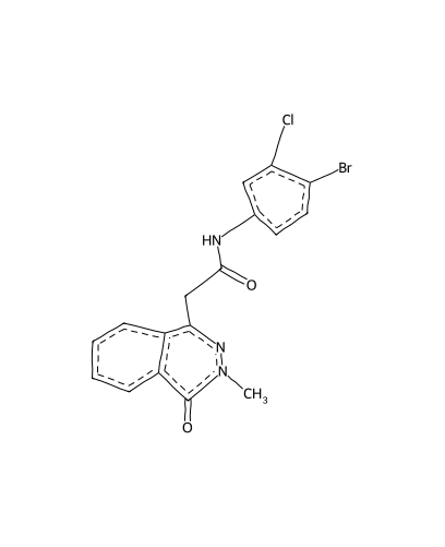 Cn1nc(CC(=O)Nc2ccc(Br)c(Cl)c2)c2ccccc2c1=O